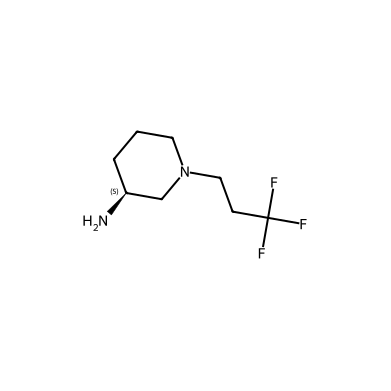 N[C@H]1CCCN(CCC(F)(F)F)C1